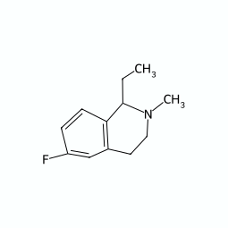 CCC1c2ccc(F)cc2CCN1C